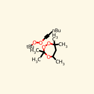 CC1CC(C)(C)OOC(C)(C)O1.CCCCC#COOC(C)(C)C